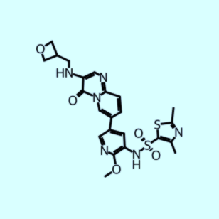 COc1ncc(-c2ccc3ncc(NCC4COC4)c(=O)n3c2)cc1NS(=O)(=O)c1sc(C)nc1C